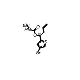 C=CC[C@H](OC(=O)NC(C)(C)C)c1cc(Br)cs1